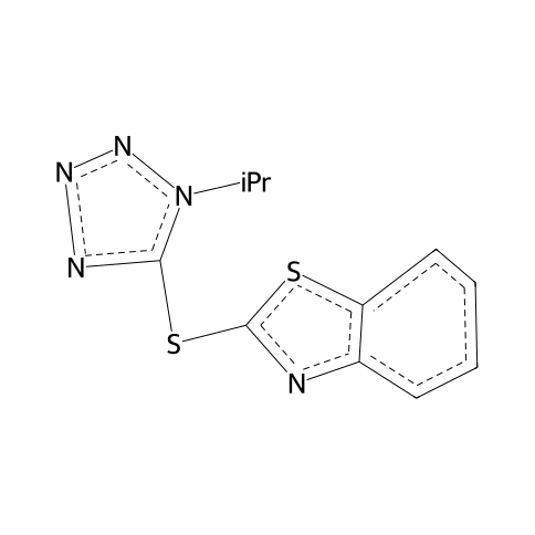 CC(C)n1nnnc1Sc1nc2ccccc2s1